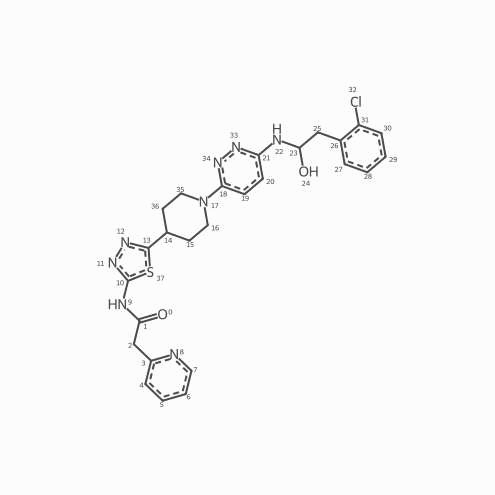 O=C(Cc1ccccn1)Nc1nnc(C2CCN(c3ccc(NC(O)Cc4ccccc4Cl)nn3)CC2)s1